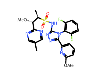 COc1cccc(-c2nnc(NS(=O)(=O)[C@H](C)[C@@H](OC)c3ncc(C)cn3)n2-c2c(F)cccc2F)n1